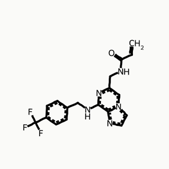 C=CC(=O)NCc1cn2ccnc2c(NCc2ccc(C(F)(F)F)cc2)n1